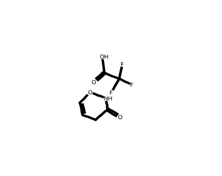 O=C(O)C(F)(F)F.O=C1CC=CON1